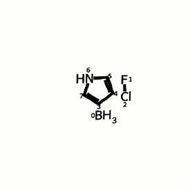 B.FCl.c1cc[nH]c1